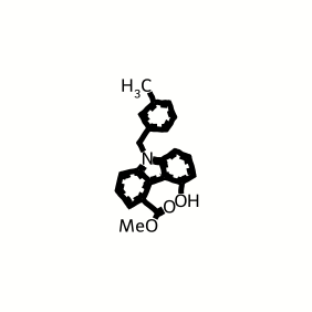 COC(=O)c1cccc2c1c1c(O)cccc1n2Cc1cccc(C)c1